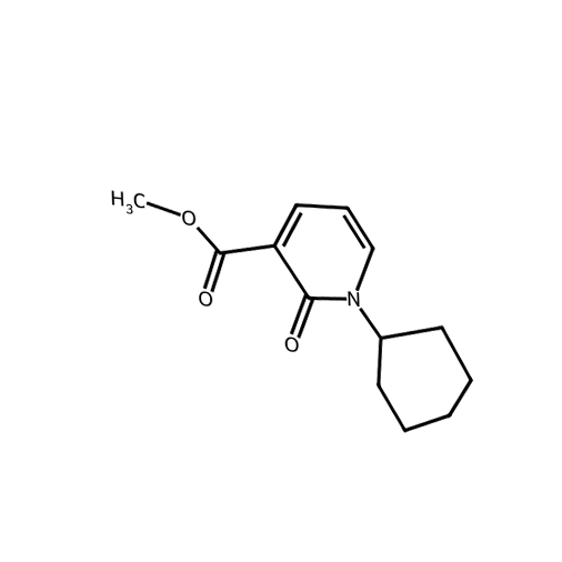 COC(=O)c1cccn(C2CCCCC2)c1=O